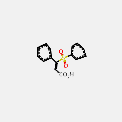 O=C(O)C=C(c1ccccc1)S(=O)(=O)c1ccccc1